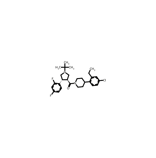 C[CH]c1cc(Cl)ccc1C1CCN(C(=O)[C@@H]2CN(C(C)(C)C)C[C@H]2c2ccc(F)cc2F)CC1